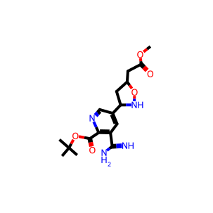 COC(=O)CC1CC(c2cnc(C(=O)OC(C)(C)C)c(C(=N)N)c2)NO1